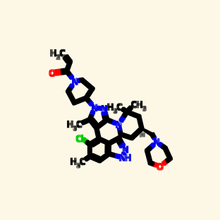 C=CC(=O)N1CCC(n2nc(N3CC[C@H](CN4CCOCC4)CC3(C)C)c(-c3c(Cl)c(C)cc4[nH]ncc34)c2C)CC1